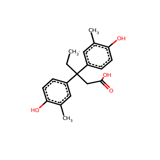 [CH2]CC(CC(=O)O)(c1ccc(O)c(C)c1)c1ccc(O)c(C)c1